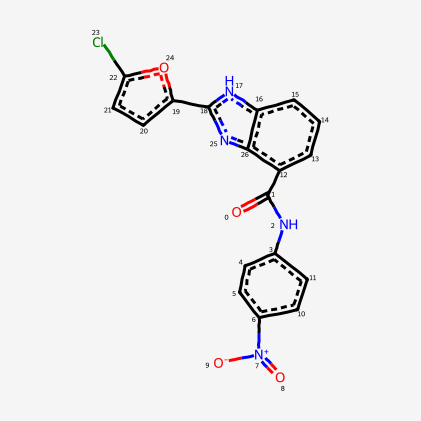 O=C(Nc1ccc([N+](=O)[O-])cc1)c1cccc2[nH]c(-c3ccc(Cl)o3)nc12